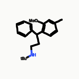 COc1cc(C)ccc1C(CCNC(C)(C)C)c1ccccc1